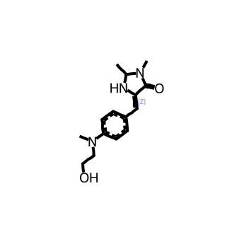 CC1N/C(=C\c2ccc(N(C)CCO)cc2)C(=O)N1C